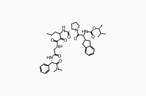 CCCC(NC(=O)[C@@H]1CCCN1C(=O)[C@@H](NC(=O)O[C@@H](C)C(C)C)C1Cc2ccccc2C1)C(=O)C(=O)NCC(=O)N[C@H](C(=O)N(C)C)c1ccccc1